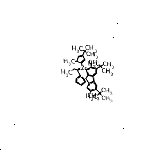 CC/[C](c1ccccc1)=[Zr](\[C]1=CC(C(C)(C)C)=CC1C)[c]1c(C)c(C(C)(C)C)cc2c1Cc1cc(C)c(C(C)(C)C)cc1-2